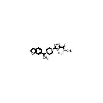 CC(c1ccc2c(c1)OCC2)N1CCN(c2nnc(C(=O)N(C)C)s2)CC1